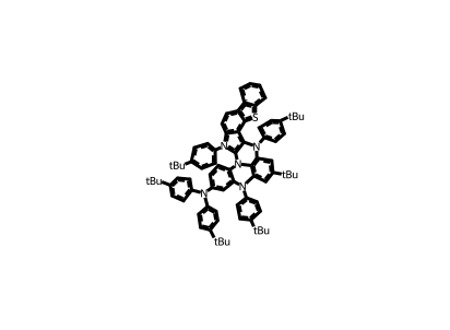 CC(C)(C)c1ccc(N(c2ccc(C(C)(C)C)cc2)c2ccc3c(c2)N(c2ccc(C(C)(C)C)cc2)c2cc(C(C)(C)C)cc4c2N3c2c(c3c5sc6ccccc6c5ccc3n2-c2ccc(C(C)(C)C)cc2)N4c2ccc(C(C)(C)C)cc2)cc1